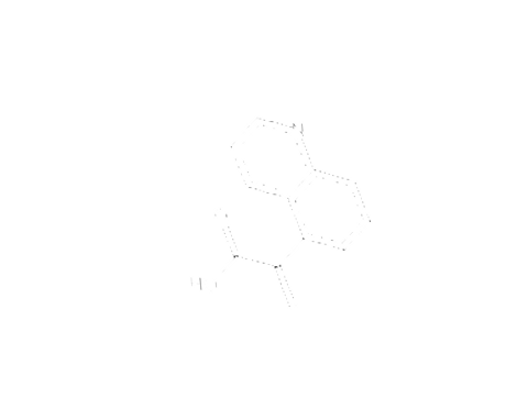 C=C(C(=O)O)c1cccc2ncccc12